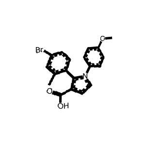 COc1ccc(-n2ccc(C(=O)O)c2-c2ccc(Br)cc2C)cc1